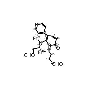 CCN(CCC=O)c1c(-c2ccncc2)ccc(=O)n1N(CC)CCC=O